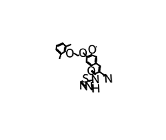 COc1cc(/C=C(/C#N)C(=O)Nc2nncs2)ccc1OCCOc1c(C)cccc1C